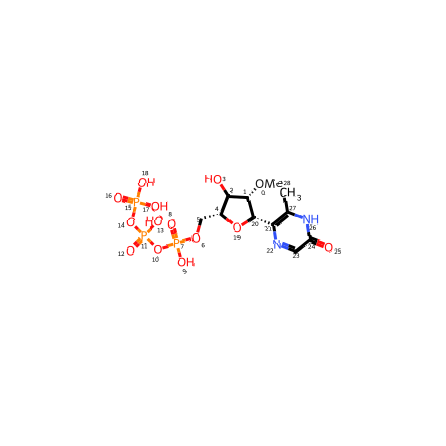 CO[C@H]1C(O)[C@@H](COP(=O)(O)OP(=O)(O)OP(=O)(O)O)O[C@H]1c1ncc(=O)[nH]c1C